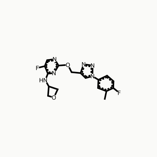 Cc1cc(-n2cc(COc3ncc(F)c(NC4COC4)n3)nn2)ccc1F